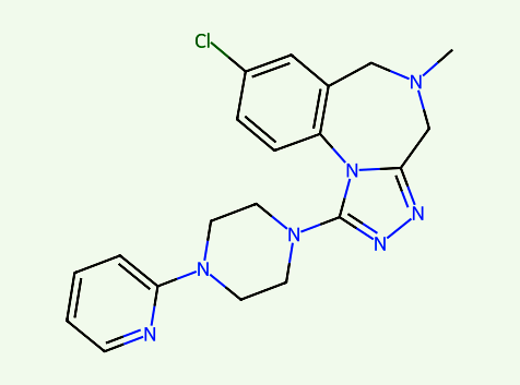 CN1Cc2cc(Cl)ccc2-n2c(nnc2N2CCN(c3ccccn3)CC2)C1